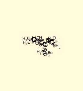 C=C(C)[C@@H]1CC[C@](C)(S)[C@@H](O[PH](=S)O[C@H]2[C@@H](F)[C@H](n3cnc4c(=O)[nH]c(N)nc43)O[C@@H]2CO[Si](C)(C)C(C)(C)C)C1